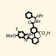 CCC[C@@H](NC(=O)c1ccc(C2C(c3nc4cc(OC)c(F)cc4[nH]3)=CC=C[C@@H]2C)c(C(=O)O)c1)c1ccccc1